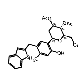 CC(=O)OC[C@H]1O[C@@H](c2cc(Cc3cc4ccccc4s3)c(C)cc2O)C[C@@H](OC(C)=O)[C@@H]1OC(C)=O